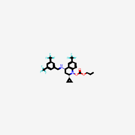 CCCOC(=O)ON1c2ccc(C(F)(F)F)cc2[C@@H](NCc2cc(C(F)(F)F)cc(C(F)(F)F)c2)C[C@H]1C1CC1